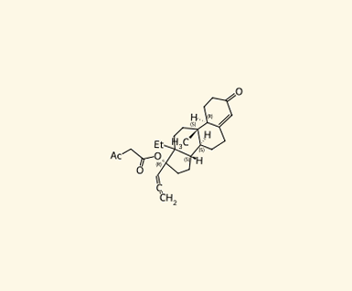 C=C=C[C@]1(OC(=O)CC(C)=O)CC[C@H]2[C@@H]3CCC4=CC(=O)CC[C@@H]4[C@@]3(C)CCC21CC